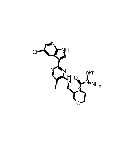 CCCN(N)C(=O)N1CCOCC1CNc1nc(-c2c[nH]c3ncc(Cl)cc23)ncc1F